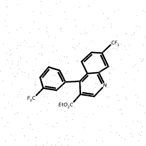 CCOC(=O)c1cnc2cc(C(F)(F)F)ccc2c1-c1cccc(C(F)(F)F)c1